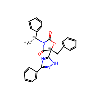 C[C@H](c1ccccc1)N1C(=O)O[C@](Cc2ccccc2)(c2nc(-c3ccccc3)n[nH]2)C1=O